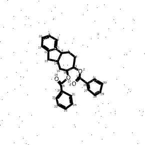 O=C(OC1CCC2c3ccccc3CC2CC1OC(=O)c1ccccc1)c1ccccc1